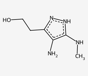 CNc1[nH]nc(CCO)c1N